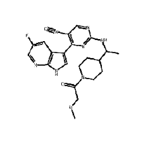 [C-]#[N+]c1cnc(NC(C)C2CCN(C(=O)COC)CC2)nc1-c1c[nH]c2ncc(F)cc12